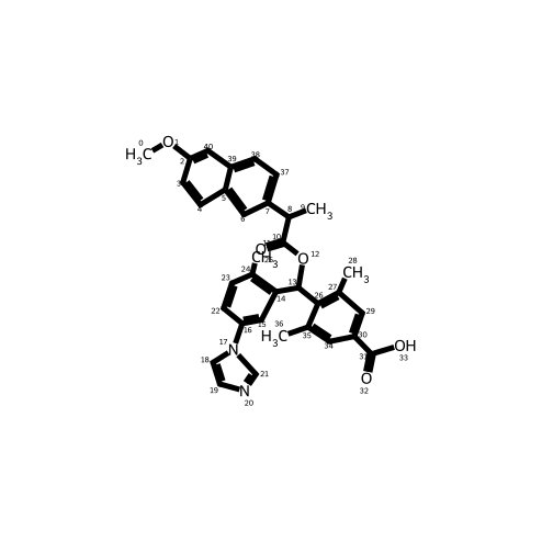 COc1ccc2cc(C(C)C(=O)OC(c3cc(-n4ccnc4)ccc3C)c3c(C)cc(C(=O)O)cc3C)ccc2c1